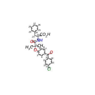 CC(C)(Oc1ccc(C(=O)c2ccc(Cl)cc2)cc1)C(=O)NC(Cc1ccccc1)C(=O)O